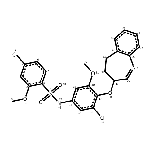 COc1cc(Cl)ccc1S(=O)(=O)Nc1cc(Cl)c(OC2C=Nc3ccccc3CC2)c(OC)c1